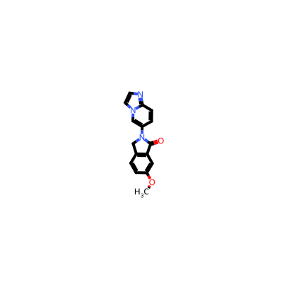 COc1ccc2c(c1)C(=O)N(c1ccc3nccn3c1)C2